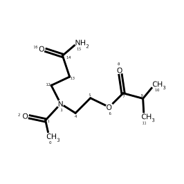 CC(=O)N(CCOC(=O)C(C)C)CCC(N)=O